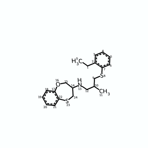 CCc1ccccc1SCC(C)CNC1COc2ccccc2SC1